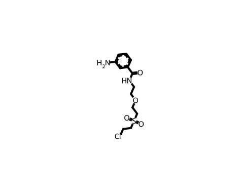 Nc1cccc(C(=O)NCCOCCS(=O)(=O)CCCl)c1